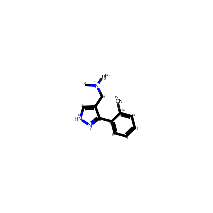 CCCN(C)Cc1c[nH]nc1-c1ccccc1C#N